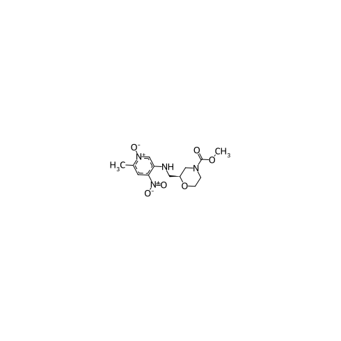 COC(=O)N1CCO[C@@H](CNc2c[n+]([O-])c(C)cc2[N+](=O)[O-])C1